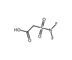 O=C(O)CS(=O)(=O)N(F)F